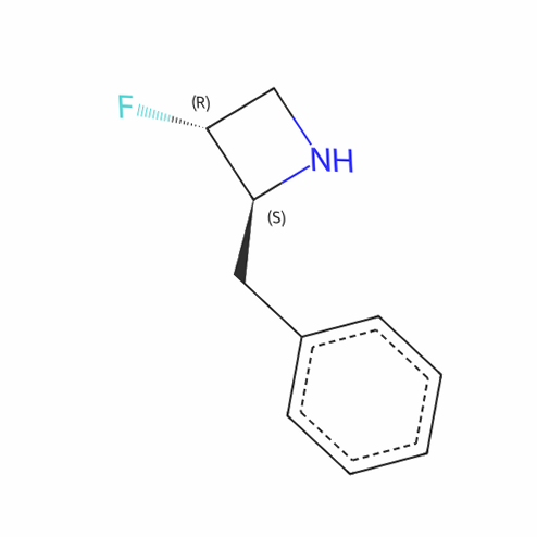 F[C@@H]1CN[C@H]1Cc1ccccc1